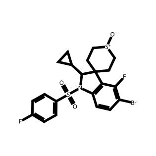 O=S(=O)(c1ccc(F)cc1)N1c2ccc(Br)c(F)c2C2(CC[S+]([O-])CC2)C1C1CC1